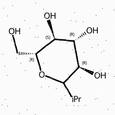 CC(C)C1O[C@H](CO)[C@@H](O)[C@H](O)[C@H]1O